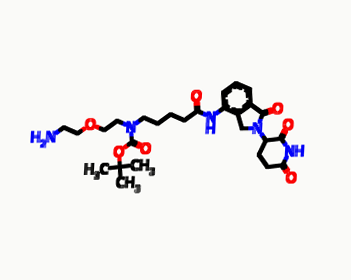 CC(C)(C)OC(=O)N(CCCCC(=O)Nc1cccc2c1CN(C1CCC(=O)NC1=O)C2=O)CCOCCN